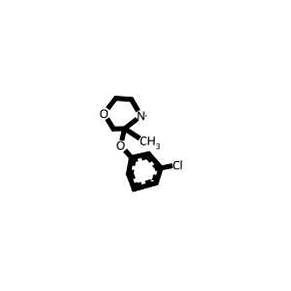 CC1(Oc2cccc(Cl)c2)COCC[N]1